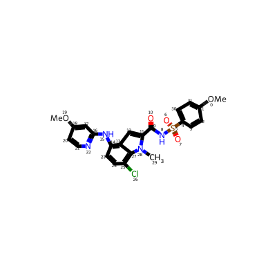 COc1ccc(S(=O)(=O)NC(=O)c2cc3c(Nc4cc(OC)ccn4)ccc(Cl)c3n2C)cc1